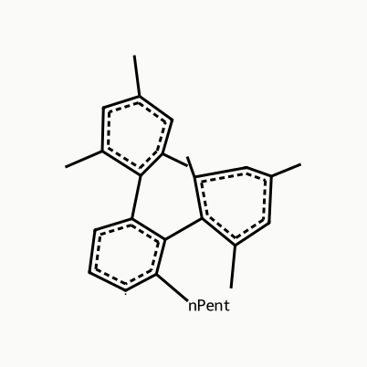 CCCCCc1[c]ccc(-c2c(C)cc(C)cc2C)c1-c1c(C)cc(C)cc1C